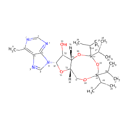 Cc1ncnc2c1ncn2[C@H]1O[C@H]2CO[Si](C(C)C)(C(C)C)O[Si](C(C)C)(C(C)C)O[C@H]2C1O